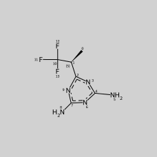 C[C@@H](c1nc(N)nc(N)n1)C(F)(F)F